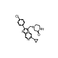 O=C1CN(Cc2c(-c3ccc(Cl)cc3)nc3cnc(C4CC4)cn23)CCN1